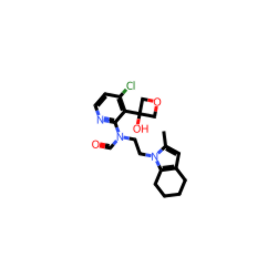 Cc1cc2c(n1CCN(C=O)c1nccc(Cl)c1C1(O)COC1)CCCC2